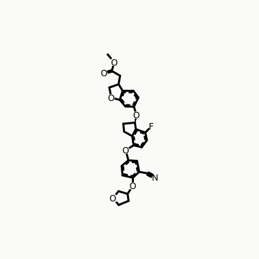 COC(=O)CC1COc2cc(O[C@@H]3CCc4c(Oc5ccc(OC6CCOC6)c(C#N)c5)ccc(F)c43)ccc21